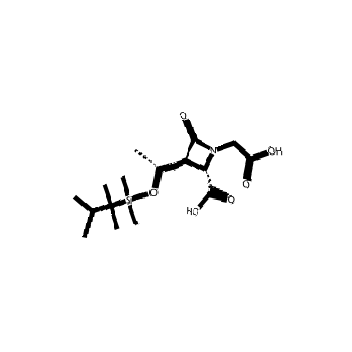 CC(C)C(C)(C)[Si](C)(C)O[C@H](C)[C@H]1C(=O)N(CC(=O)O)[C@@H]1C(=O)O